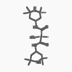 [CH2]C(CCCC)(C(=O)NC1CC(C)(C)NC(C)(C)C1)C(=O)NC1CC(C)(C)NC(C)(C)C1